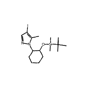 Cc1c(I)cnn1C1CCCCC1O[Si](C)(C)C(C)(C)C